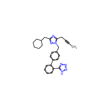 CC#CCc1nc(CC2CCCCC2)nn1Cc1ccc(-c2ccccc2-c2nnn[nH]2)cc1